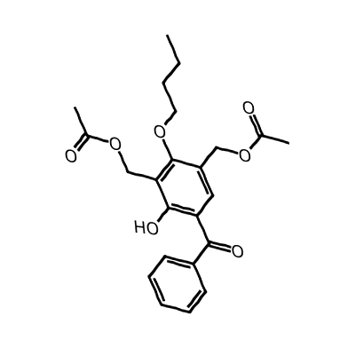 CCCCOc1c(COC(C)=O)cc(C(=O)c2ccccc2)c(O)c1COC(C)=O